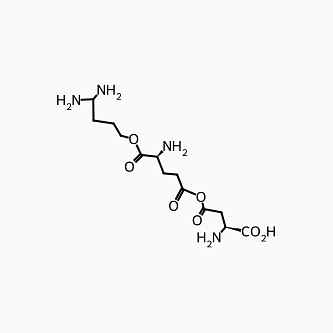 NC(N)CCCOC(=O)[C@@H](N)CCC(=O)OC(=O)C[C@H](N)C(=O)O